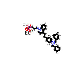 CCOP(=O)(CCC[n+]1ccc(C=Cc2ccc(N(Cc3ccccc3)Cc3ccccc3)cc2)c2ccccc21)OCC